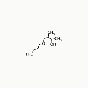 CCCCOCC(C)C(C)O